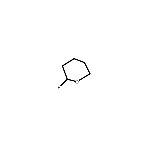 FC1[CH]CCCO1